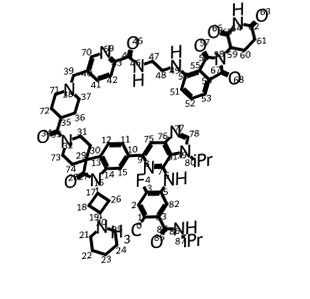 Cc1cc(F)c(Nc2nc(-c3ccc4c(c3)N([C@H]3C[C@@H](N5CCCCC5)C3)C(=O)C43CCN(C(=O)C4CCN(Cc5ccc(C(=O)NCCNc6cccc7c6C(=O)N(C6CCC(=O)NC6=O)C7=O)nc5)CC4)CC3)cc3ncn(C(C)C)c23)cc1C(=O)NC(C)C